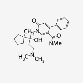 CNC(=O)c1cn(CC(O)(CCN(C)C)C2(C)CCCC2)c(=O)cc1-c1ccccc1